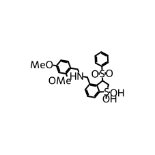 COc1ccc(CNCc2cccc3c2C(S(=O)(=O)c2ccccc2)CS3(O)O)c(OC)c1